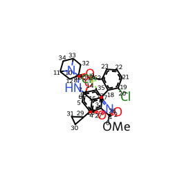 COC(=O)c1ccc(NC(=O)N2C3CC(OCc4c(-c5c(Cl)cccc5Cl)noc4C4CC4)CC2C3)c(F)c1